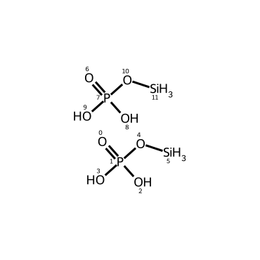 O=P(O)(O)O[SiH3].O=P(O)(O)O[SiH3]